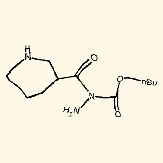 CCCCOC(=O)N(N)C(=O)C1CCCNC1